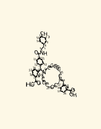 Cc1ccc(CCNC(=O)c2ccc(C(c3cccc(C(=O)O)n3)N3CCOCCOCCN(Cc4cccc(C(=O)O)n4)CCOCCOCC3)cc2)cc1